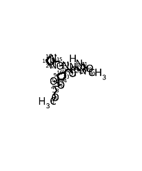 COCCCS(=O)(=O)c1ccc(/C(=N\OCc2ncccn2)C(=O)Nc2cnc(OC)cn2)cc1